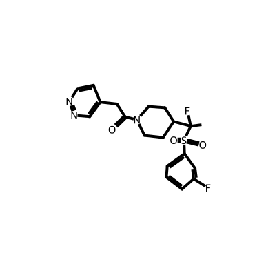 CC(F)(C1CCN(C(=O)Cc2ccnnc2)CC1)S(=O)(=O)c1cccc(F)c1